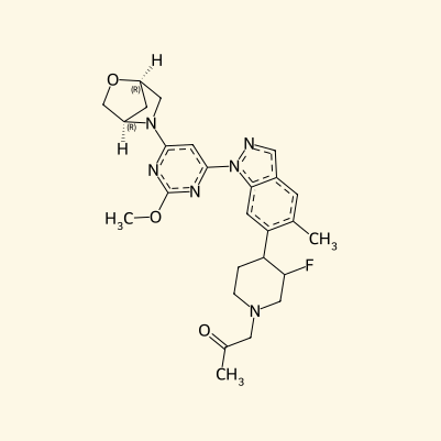 COc1nc(N2C[C@H]3C[C@@H]2CO3)cc(-n2ncc3cc(C)c(C4CCN(CC(C)=O)CC4F)cc32)n1